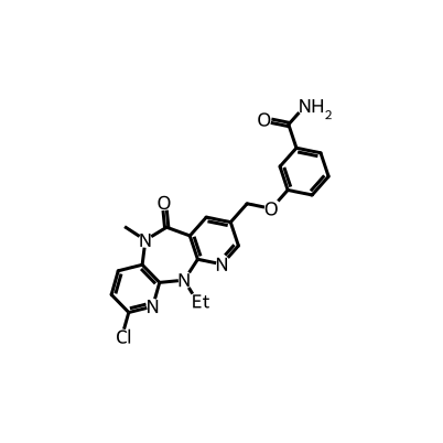 CCN1c2ncc(COc3cccc(C(N)=O)c3)cc2C(=O)N(C)c2ccc(Cl)nc21